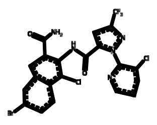 NC(=O)c1cc2cc(Br)ccc2c(Cl)c1NC(=O)c1cc(C(F)(F)F)nn1-c1ncccc1Cl